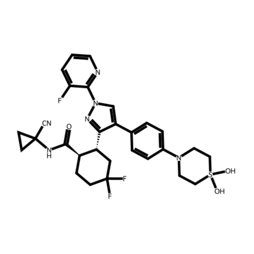 N#CC1(NC(=O)[C@@H]2CCC(F)(F)C[C@H]2c2nn(-c3ncccc3F)cc2-c2ccc(N3CCS(O)(O)CC3)cc2)CC1